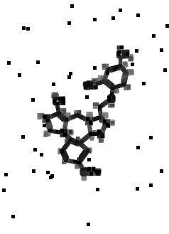 COc1ccc2c(c1)-c1nnc(COc3ccc(C)cc3C(C)(C)C)n1Cc1c(C#N)ncn1-2